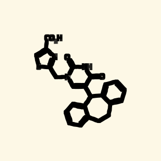 O=C(O)c1csc(Cn2cc(C3c4ccccc4CCc4ccccc43)c(=O)[nH]c2=O)n1